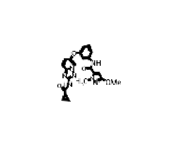 COc1cc(C(=O)Nc2cccc(Oc3ccc4nc(NC(=O)C5CC5)nn4c3)c2)n(C)n1